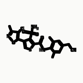 Cc1cc(CC#N)cc(C)c1NC(=O)c1scc(-c2onc(C)c2Cl)c1S(N)(=O)=O